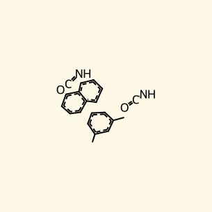 Cc1cccc(C)c1.N=C=O.N=C=O.c1ccc2ccccc2c1